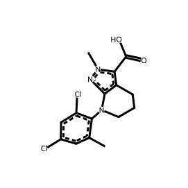 Cc1cc(Cl)cc(Cl)c1N1CCCc2c1nn(C)c2C(=O)O